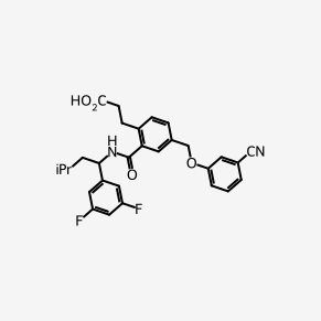 CC(C)CC(NC(=O)c1cc(COc2cccc(C#N)c2)ccc1CCC(=O)O)c1cc(F)cc(F)c1